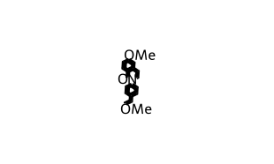 COCCc1ccc(N2CCc3cc(OC)ccc3C2=O)cc1